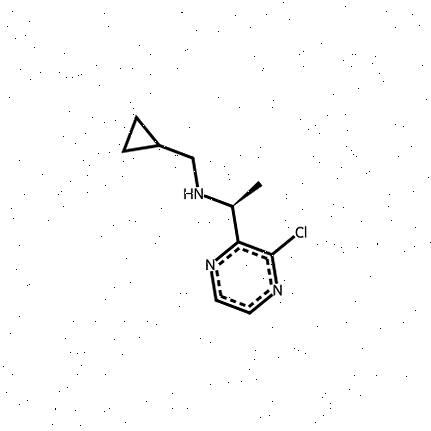 C[C@H](NCC1CC1)c1nccnc1Cl